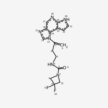 C=C(CCNC(=O)N1CC(F)(F)C1)n1cnc2cnc3[nH]ccc3c21